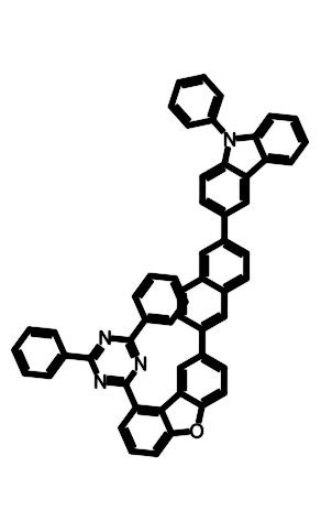 c1ccc(-c2nc(-c3ccccc3)nc(-c3cccc4oc5ccc(-c6ccc7cc(-c8ccc9c(c8)c8ccccc8n9-c8ccccc8)ccc7c6)cc5c34)n2)cc1